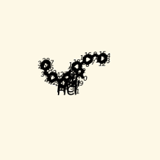 CC1=Cc2c(-c3ccc(Cc4ccccc4)cc3)cccc2[CH]1[Zr]([CH]1C(C)=Cc2c(-c3ccc(Cc4ccccc4)cc3)cccc21)=[Si](C)C.Cl.Cl